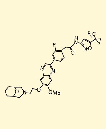 COc1cc2nc(-c3ccc(CC(=O)Nc4cc(C5(C(F)(F)F)CC5)on4)c(F)c3)cnc2cc1OCCN1CC2CCCC(C1)O2